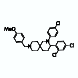 COc1ccc(CN2CCC3(CCC(c4ccc(Cl)cc4Cl)N(c4ccc(Cl)cc4)C3)CC2)cc1